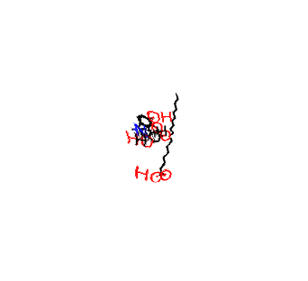 CCCCCCCCCCCCCCCCCC(=O)O.CN1CC[C@]23c4c5ccc(O)c4O[C@H]2C(=O)CC[C@@]3(O)[C@H]1C5